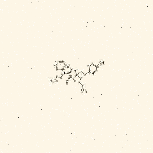 CCCCC1(CCc2ccc(O)cc2)CC(O)=C(N(CCC)c2ccccc2)C(=O)O1